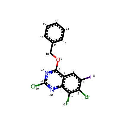 Fc1c(Br)c(I)cc2c(OCc3ccccc3)nc(Cl)nc12